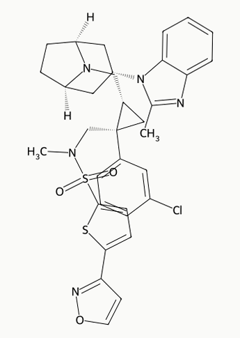 Cc1nc2ccccc2n1[C@@H]1C[C@H]2CC[C@@H](C1)N2C[C@@H]1C[C@@]1(CN(C)S(=O)(=O)c1ccc(-c2ccon2)s1)c1cccc(Cl)c1